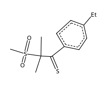 CCc1ccc(C(=S)C(C)(C)S(C)(=O)=O)cc1